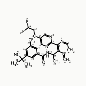 C=N/C(=C(\N=C/C)c1ncc(OCC(F)F)cn1)C(C)NC(=O)c1cc(C(F)(F)F)cc(C(C)(C)C#N)c1